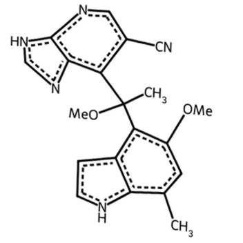 COc1cc(C)c2[nH]ccc2c1C(C)(OC)c1c(C#N)cnc2[nH]cnc12